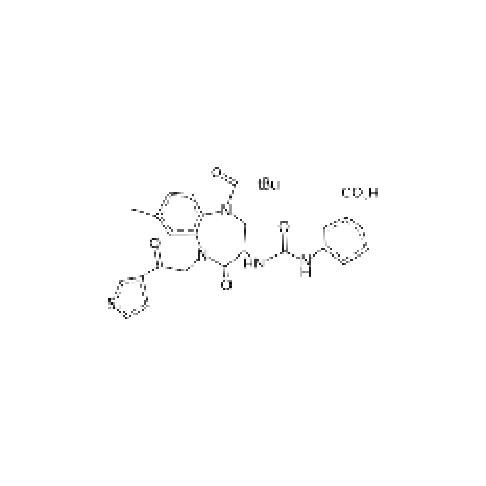 Cc1ccc2c(c1)N(CC(=O)c1ccsc1)C(=O)C(NC(=O)Nc1cccc(C(=O)O)c1)CN2C(=O)C(C)(C)C